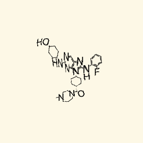 CN1CCCN(C(=O)[C@H]2CC[C@@H](n3c(Nc4ccccc4F)nc4cnc(N[C@H]5CC[C@H](O)CC5)nc43)CC2)CC1